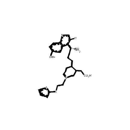 COc1ccc2ncc(Cl)c([C@H](N)CCC3CCN(CCSc4cccs4)CC3CC(=O)O)c2c1